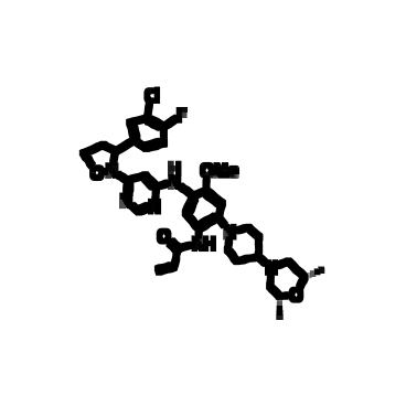 C=CC(=O)Nc1cc(Nc2cc(N3OCCC3c3ccc(F)c(Cl)c3)ncn2)c(OC)cc1N1CCC(N2C[C@@H](C)O[C@@H](C)C2)CC1